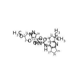 COC1COc2c(S(=O)(=O)NC(=O)Nc3c4c(nc5c3CCC5(C)C)CCC4)cnn2C1